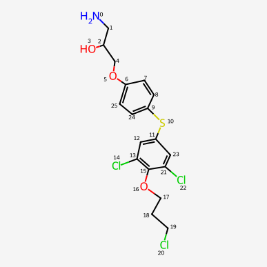 NCC(O)COc1ccc(Sc2cc(Cl)c(OCCCCl)c(Cl)c2)cc1